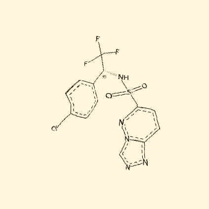 O=S(=O)(N[C@H](c1ccc(Cl)cc1)C(F)(F)F)c1ccc2nncn2n1